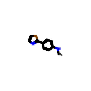 CNc1ccc(-c2nccs2)cc1